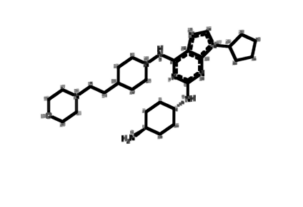 N[C@H]1CC[C@H](Nc2nc(NN3CCC(CCN4CCOCC4)CC3)c3ncn(C4CCCC4)c3n2)CC1